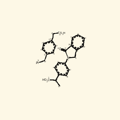 CC(C(=O)O)c1ccc(N2Cc3ccccc3C2=O)cc1.CC(C)Cc1ccc(CC(=O)O)cc1